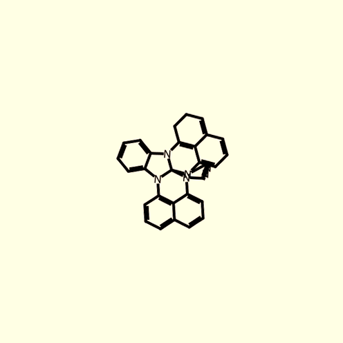 C1=c2cccc3c2=C(CC1)N1c2ccccc2N2c4cccc5cccc(c45)N4c5nccnc5N3C124